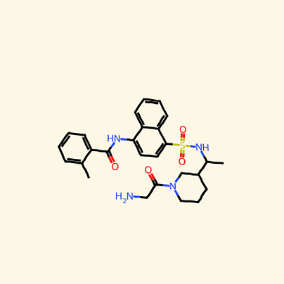 Cc1ccccc1C(=O)Nc1ccc(S(=O)(=O)NC(C)C2CCCN(C(=O)CN)C2)c2ccccc12